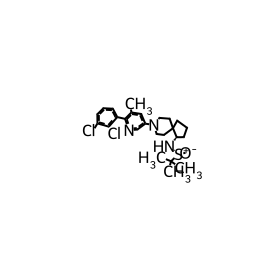 Cc1cc(N2CCC3(CCC[C@H]3N[S+]([O-])C(C)(C)C)CC2)cnc1-c1cccc(Cl)c1Cl